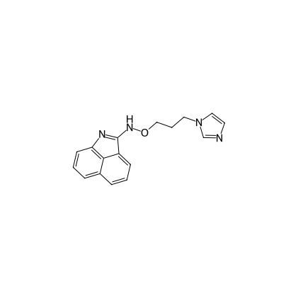 c1cc2c3c(cccc3c1)C(NOCCCn1ccnc1)=N2